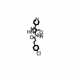 O=C(CCc1ccc(Cl)cc1)Nc1[nH]nc(-c2ccncc2)c1CO